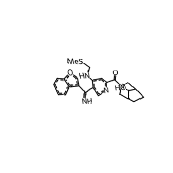 CSCNc1cc(C(=O)N2CC3CCC(C2)C3O)ncc1C(=N)c1coc2ccccc12